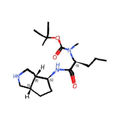 CCC[C@@H](C(=O)N[C@H]1CC[C@@H]2CNC[C@@H]21)N(C)C(=O)OC(C)(C)C